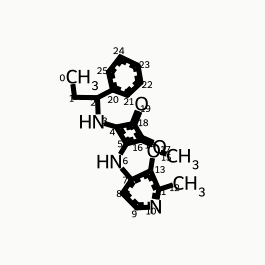 CCC(Nc1c(Nc2ccnc(C)c2OC)c(=O)c1=O)c1ccccc1